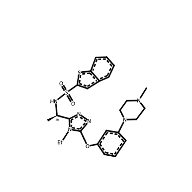 CCn1c(Oc2cccc(N3CCN(C)CC3)c2)nnc1[C@@H](C)NS(=O)(=O)c1cc2ccccc2s1